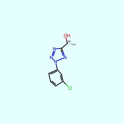 C[C@@H](O)c1nnn(-c2cccc(Cl)c2)n1